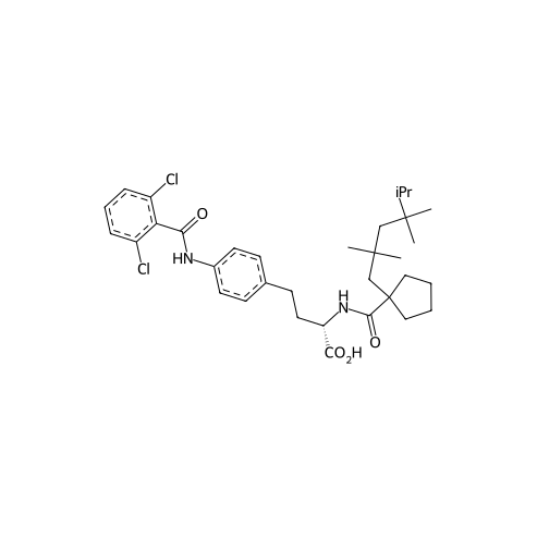 CC(C)C(C)(C)CC(C)(C)CC1(C(=O)N[C@@H](CCc2ccc(NC(=O)c3c(Cl)cccc3Cl)cc2)C(=O)O)CCCC1